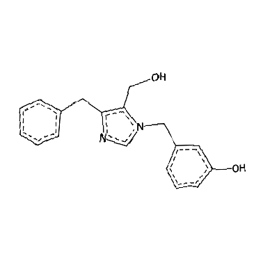 OCc1c(Cc2ccccc2)ncn1Cc1cccc(O)c1